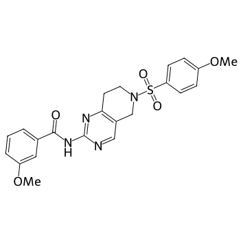 COc1ccc(S(=O)(=O)N2CCc3nc(NC(=O)c4cccc(OC)c4)ncc3C2)cc1